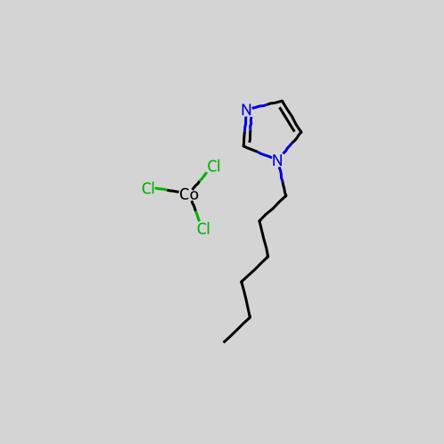 CCCCCCn1ccnc1.[Cl][Co]([Cl])[Cl]